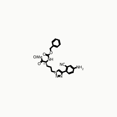 COC(=O)[C@H](CCCn1cc(-c2ccc(N)cc2C#N)nn1)NC(=O)OCc1ccccc1